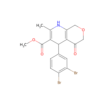 COC(=O)C1=C(C)NC2=C(C(=O)COC2)C1c1ccc(Br)c(Br)c1